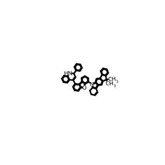 CC1(C)c2ccccc2-c2cc3c(cc21)c1c(n3-c2cccc3c2oc2cccc(C4=CC(c5ccccc5)Nc5ccccc54)c23)CCC=C1